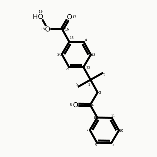 CC(C)(CC(=O)c1ccccc1)c1ccc(C(=O)OO)cc1